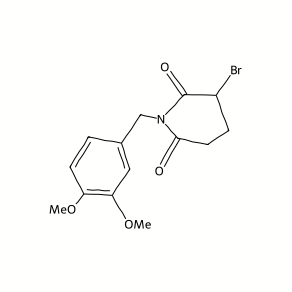 COc1ccc(CN2C(=O)CCC(Br)C2=O)cc1OC